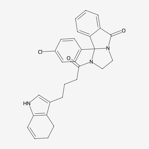 O=C(CCCc1c[nH]c2c1CCC=C2)N1CCN2C(=O)c3ccccc3C12c1ccc(Cl)cc1